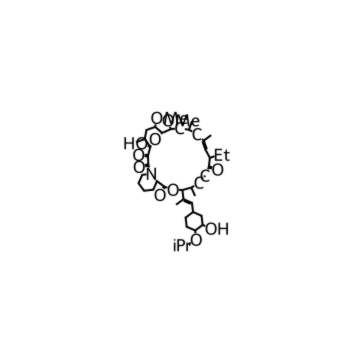 CCC1/C=C(\C)CC(C)CC(OC)C2OC(O)(C(=O)C(=O)N3CCCCC3C(=O)OC(C(C)=CC3CCC(OC(C)C)C(O)C3)C(C)CCC1=O)C(C)CC2OC